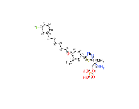 C[C@](N)(COP(=O)(O)O)c1nnc(-c2ccc(OCCCCCCc3cccc(F)c3)c(C(F)(F)F)c2)s1